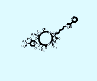 CC[C@H]1OC(=O)[C@H](C)C(=O)[C@H](C)[C@@H](O[C@@H]2O[C@H](C)CC(N(C)C)C2O)[C@](C)(OC)C[C@@H](C)CN[C@H](C)[C@H]2N(CCCCCn3cc(-c4ccccn4)nn3)C(=O)O[C@]12C